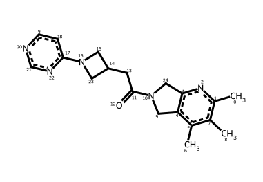 Cc1nc2c(c(C)c1C)CN(C(=O)CC1CN(c3ccncn3)C1)C2